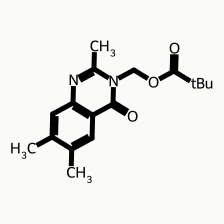 Cc1cc2nc(C)n(COC(=O)C(C)(C)C)c(=O)c2cc1C